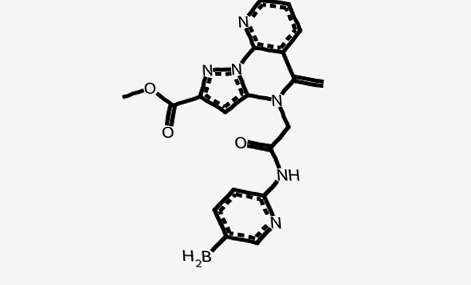 Bc1ccc(NC(=O)CN2C(=C)c3cccnc3-n3nc(C(=O)OC)cc32)nc1